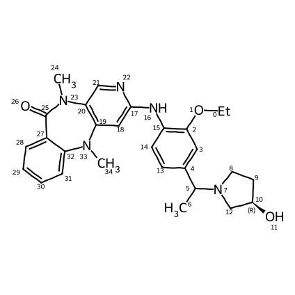 CCOc1cc(C(C)N2CC[C@@H](O)C2)ccc1Nc1cc2c(cn1)N(C)C(=O)c1ccccc1N2C